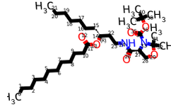 CCCCCCCCCCCC(=O)O[C@H](CCCCCCC)CCNC(=O)[C@@H]1COC(C)(C)N1C(=O)OC(C)(C)C